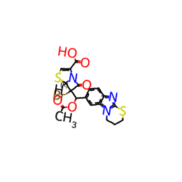 CC(=O)OC(c1ccc2nc3n(c2c1)CCCS3)C1(Br)C(=O)N2C(C(=O)O)=CS[C@@H]21